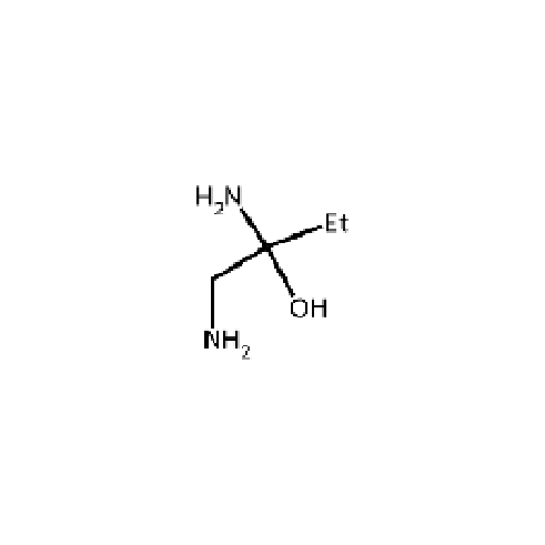 CCC(N)(O)CN